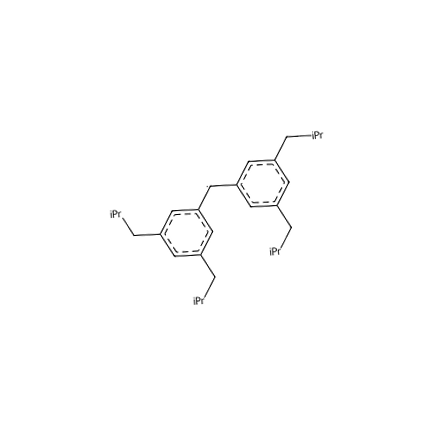 CC(C)Cc1cc([CH]c2cc(CC(C)C)cc(CC(C)C)c2)cc(CC(C)C)c1